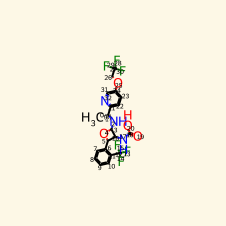 C[C@@H](NC1OC(c2ccccc2C(F)(F)F)C1NC(=O)O)c1ccc(OCC(F)(F)F)cn1